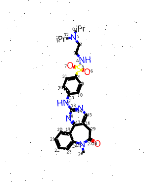 CC(C)N(CCNS(=O)(=O)c1ccc(Nc2ncc3c(n2)-c2ccccc2N(C)C(=O)C3)cc1)C(C)C